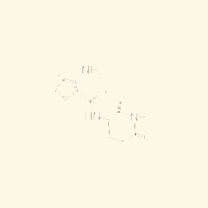 Nc1sccc1C(=O)NC1CCC(=O)NC1=O